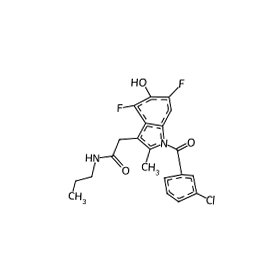 CCCNC(=O)Cc1c(C)n(C(=O)c2cccc(Cl)c2)c2cc(F)c(O)c(F)c12